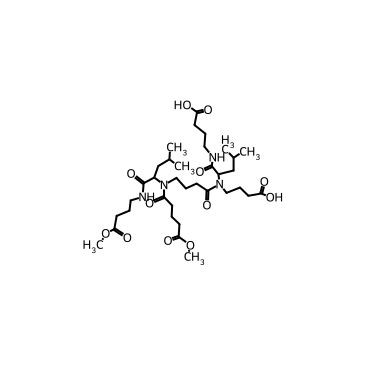 COC(=O)CCCNC(=O)C(CC(C)C)N(CCCC(=O)N(CCCC(=O)O)C(CC(C)C)C(=O)NCCCC(=O)O)C(=O)CCCC(=O)OC